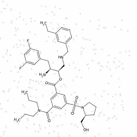 CCCN(CCC)C(=O)c1cc(C(=O)O[C@H](CNCc2cccc(CC)c2)[C@@H](N)Cc2cc(F)cc(F)c2)cc(S(=O)(=O)N2CCC[C@H]2CO)c1